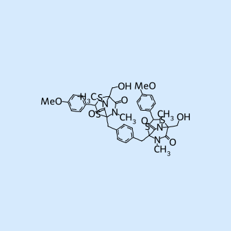 COc1ccc(C2SC3(CO)C(=O)N(C)C(Cc4ccc(CC56SC(c7ccc(OC)cc7)SC(CO)(C(=O)N5C)N(C)C6=O)cc4)(S2)C(=O)N3C)cc1